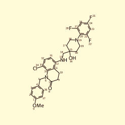 COc1ccc(CN2C(=O)CCc3c(NCC4(O)CCN(c5c(F)cc(F)cc5F)CC4)ccc(Cl)c32)cc1